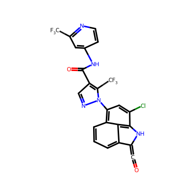 O=C=c1[nH]c2c(Cl)cc(-n3ncc(C(=O)Nc4ccnc(C(F)(F)F)c4)c3C(F)(F)F)c3cccc1c32